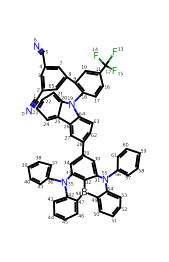 N#Cc1cc(C#N)cc(-c2cc(C(F)(F)F)ccc2-n2c3ccccc3c3cc(-c4cc5c6c(c4)N(c4ccccc4)c4ccccc4B6c4ccccc4N5c4ccccc4)ccc32)c1